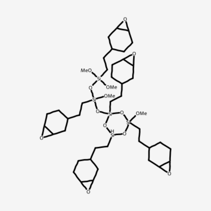 CO[Si](CCC1CCC2OC2C1)(OC)O[Si](CCC1CCC2OC2C1)(OC)O[Si]1(CCC2CCC3OC3C2)O[SiH](CCC2CCC3OC3C2)O[Si](CCC2CCC3OC3C2)(OC)O1